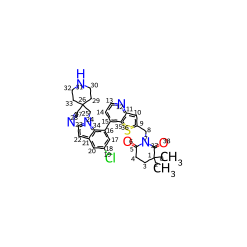 CC1(C)CCC(=O)N(Cc2cc3nccc(-c4cc(Cl)cc5ccn(CC6(C#N)CCNCC6)c45)c3s2)C1=O